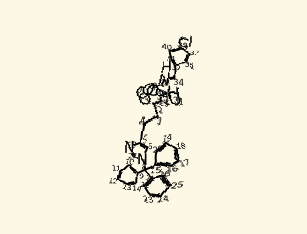 O=C(O)OC(CCc1cn(C(c2ccccc2)(c2ccccc2)c2ccccc2)cn1)CS(=O)(=O)NCc1ccc(Cl)cc1